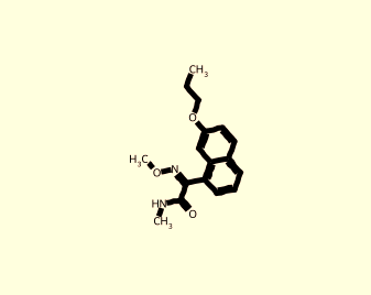 CCCOc1ccc2cccc(C(=NOC)C(=O)NC)c2c1